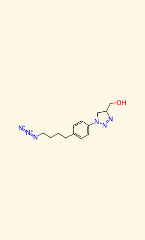 [N-]=[N+]=NCCCCc1ccc(N2CC(CO)N=N2)cc1